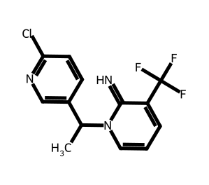 CC(c1ccc(Cl)nc1)n1cccc(C(F)(F)F)c1=N